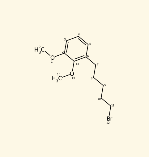 COc1cccc(CCCCCBr)c1OC